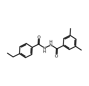 CCc1ccc(C(=O)NNC(=O)c2cc(C)cc(C)c2)cc1